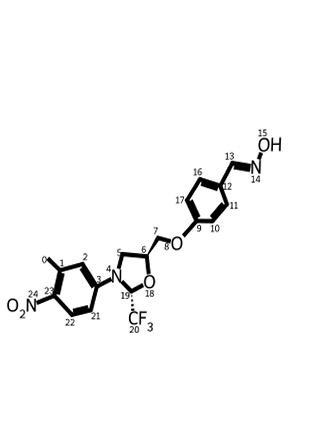 Cc1cc(N2C[C@@H](COc3ccc(C=NO)cc3)O[C@@H]2C(F)(F)F)ccc1[N+](=O)[O-]